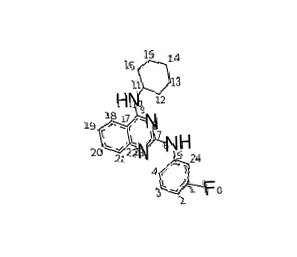 Fc1cccc(Nc2nc(NC3CCCCC3)c3ccccc3n2)c1